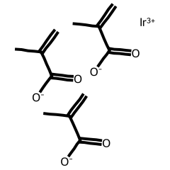 C=C(C)C(=O)[O-].C=C(C)C(=O)[O-].C=C(C)C(=O)[O-].[Ir+3]